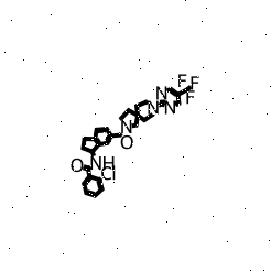 O=C(NC1CCc2ccc(C(=O)N3CCC4(CCN(c5ncc(C(F)(F)F)cn5)CC4)C3)cc21)c1ccccc1Cl